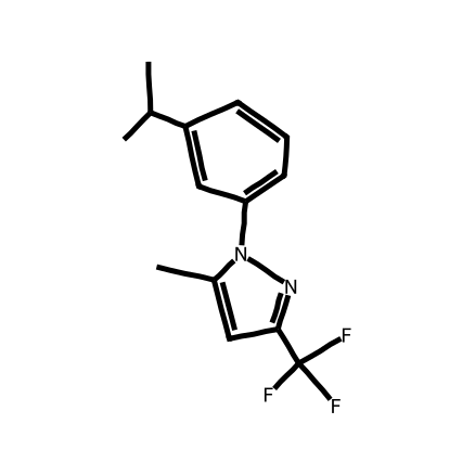 Cc1cc(C(F)(F)F)nn1-c1cccc(C(C)C)c1